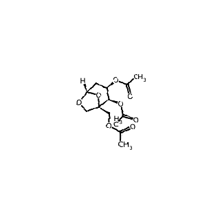 CC(=O)OC[C@]12CO[C@H](C[C@@H](OC(C)=O)[C@H]1OC(C)=O)O2